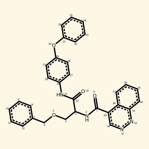 O=C(NC(COCc1ccccc1)C(=O)Nc1ccc(Oc2ccccc2)cc1)c1cnnc2ccccc12